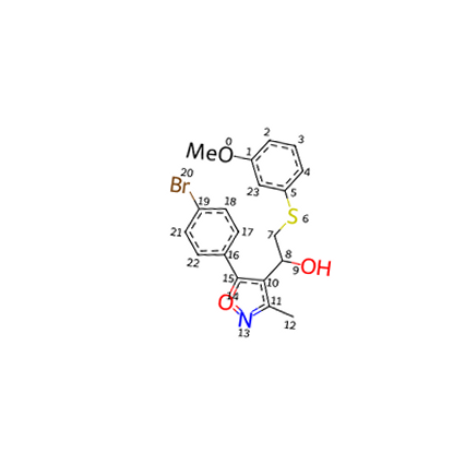 COc1cccc(SCC(O)c2c(C)noc2-c2ccc(Br)cc2)c1